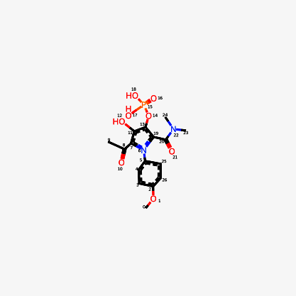 COc1ccc(-n2c(C(C)=O)c(O)c(OP(=O)(O)O)c2C(=O)N(C)C)cc1